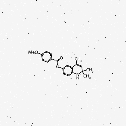 COc1ccc(C(=O)Oc2ccc3c(c2)C(C)=CC(C)(C)N3)cc1